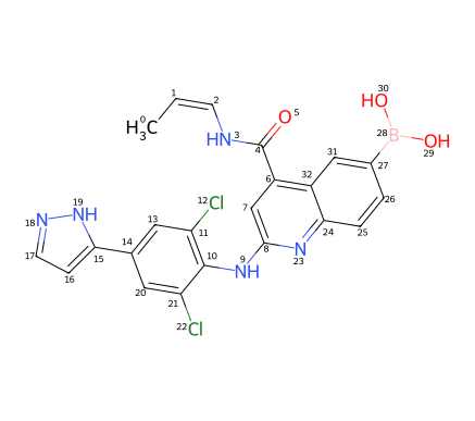 C/C=C\NC(=O)c1cc(Nc2c(Cl)cc(-c3ccn[nH]3)cc2Cl)nc2ccc(B(O)O)cc12